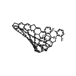 COc1ccccc1C1N(c2c(F)cccc2F)CC2c3cc4c5c6c(cc7cc8c9c%10c%11c%12c%13c%14c%15c(c%16c3c5c(c%16%13)c3c6c7c9c%123)C21CC%15C=C(C=C%10C8)C%14%11)C4